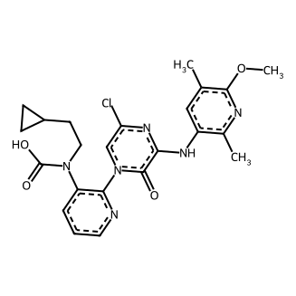 COc1nc(C)c(Nc2nc(Cl)cn(-c3ncccc3N(CCC3CC3)C(=O)O)c2=O)cc1C